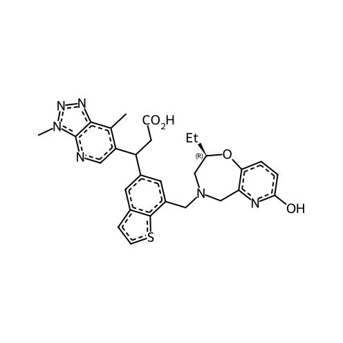 CC[C@@H]1CN(Cc2cc(C(CC(=O)O)c3cnc4c(nnn4C)c3C)cc3ccsc23)Cc2nc(O)ccc2O1